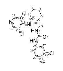 O=C(NC[C@H]1CCCC[C@H]1Nc1c(Cl)cncc1Cl)Nc1ccc(F)c(Cl)c1